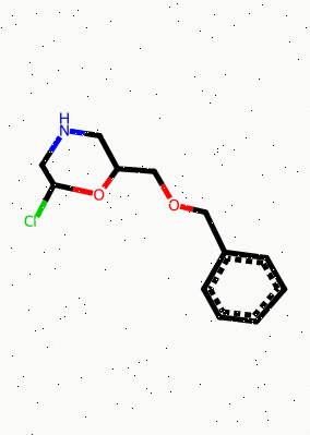 ClC1CNCC(COCc2ccccc2)O1